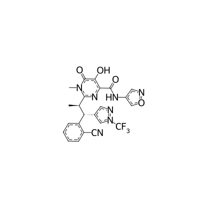 C[C@@H](c1nc(C(=O)Nc2cnoc2)c(O)c(=O)n1C)[C@H](c1cnn(C(F)(F)F)c1)c1ccccc1C#N